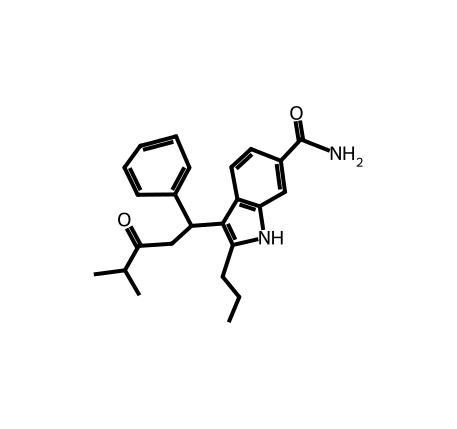 CCCc1[nH]c2cc(C(N)=O)ccc2c1C(CC(=O)C(C)C)c1ccccc1